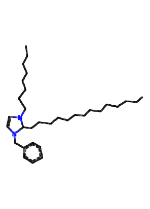 CCCCCCCCCCCCCCC1N(CCCCCCCC)C=CN1Cc1ccccc1